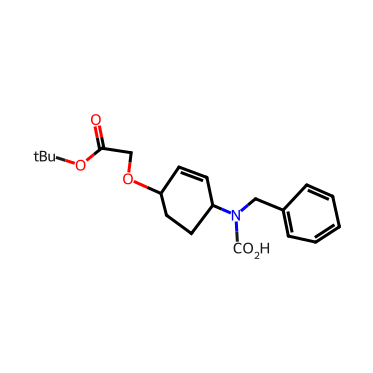 CC(C)(C)OC(=O)COC1C=CC(N(Cc2ccccc2)C(=O)O)CC1